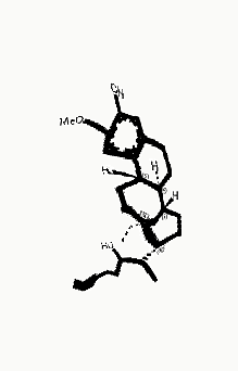 C#CCC(O)C(C)[C@H]1CC[C@H]2[C@@H]3CCc4cc(O)c(OC)cc4[C@H]3CC[C@]12C